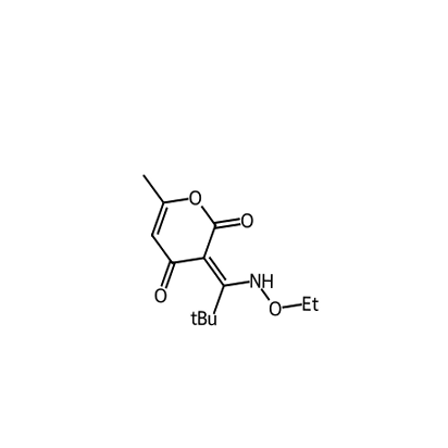 CCONC(=C1C(=O)C=C(C)OC1=O)C(C)(C)C